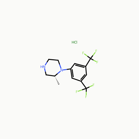 C[C@@H]1CNCCN1c1cc(C(F)(F)F)cc(C(F)(F)F)c1.Cl